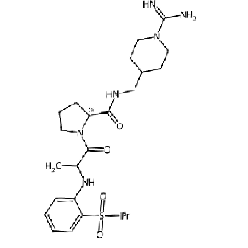 CC(Nc1ccccc1S(=O)(=O)C(C)C)C(=O)N1CCC[C@H]1C(=O)NCC1CCN(C(=N)N)CC1